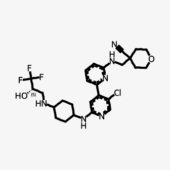 N#CC1(CNc2cccc(-c3cc(NC4CCC(NC[C@H](O)C(F)(F)F)CC4)ncc3Cl)n2)CCOCC1